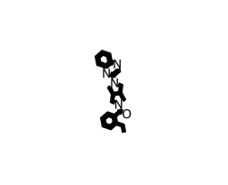 CCc1ccccc1C(=O)N1CC2CN(c3cnc4ccccc4n3)CC2C1